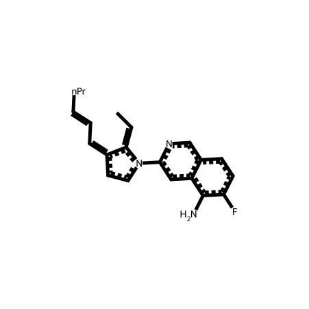 C\C=c1/c(=C\C=C\CCC)ccn1-c1cc2c(N)c(F)ccc2cn1